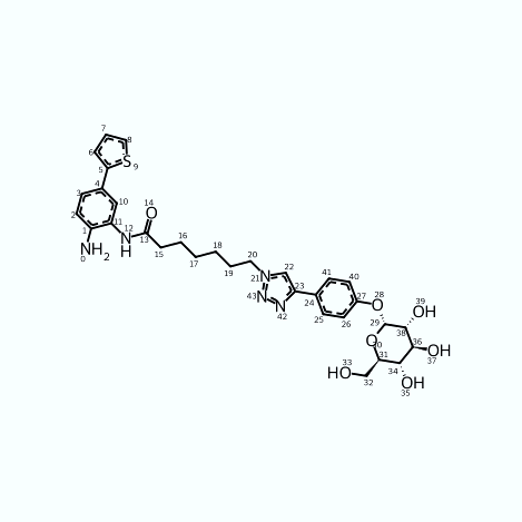 Nc1ccc(-c2cccs2)cc1NC(=O)CCCCCCn1cc(-c2ccc(O[C@H]3O[C@H](CO)[C@@H](O)[C@H](O)[C@H]3O)cc2)nn1